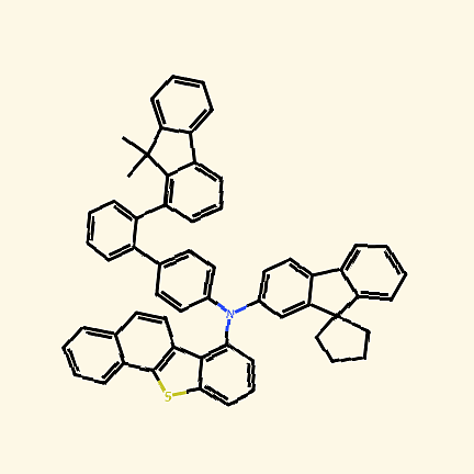 CC1(C)c2ccccc2-c2cccc(-c3ccccc3-c3ccc(N(c4ccc5c(c4)C4(CCCC4)c4ccccc4-5)c4cccc5sc6c7ccccc7ccc6c45)cc3)c21